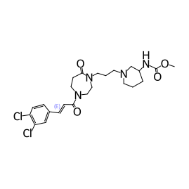 COC(=O)NC1CCCN(CCCN2CCN(C(=O)/C=C/c3ccc(Cl)c(Cl)c3)CCC2=O)C1